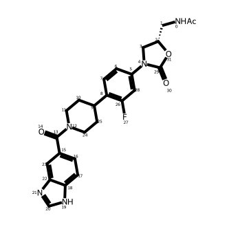 CC(=O)NC[C@H]1CN(c2ccc(C3CCN(C(=O)c4ccc5[nH]cnc5c4)CC3)c(F)c2)C(=O)O1